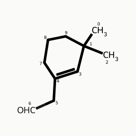 CC1(C)C=C(CC=O)CCC1